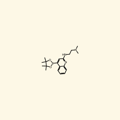 CN(C)CCNc1cc(B2OC(C)(C)C(C)(C)O2)c2ccccc2n1